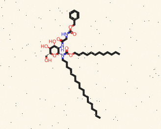 CCCCCCCCCCCCCCCCCCN(C(=O)OCCCCCCCCCCCC)[C@@H]1O[C@H](CO)[C@@H](O)[C@H](O)[C@H]1NC(=O)CNC(=O)OCc1ccccc1